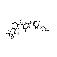 Cc1cc(Nc2ccc3c(n2)NC(=O)C(C)(C)O3)nc(Nc2cnc(N3CC4CC3CN4C)c(C)c2)n1